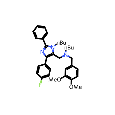 CCCCN(Cc1ccc(OC)c(OC)c1)Cc1c(-c2ccc(F)cc2)nc(-c2ccccc2)n1CCCC